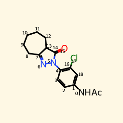 CC(=O)Nc1ccc(N2N=C3CCCCCC3C2=O)c(Cl)c1